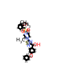 CC1CN(S(=O)(=O)CC23CCC(CC2=O)C3(C)C)CCN1c1nc(C(O)c2ccc(Oc3ccccc3)cc2)ns1